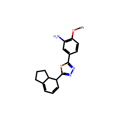 CC(C)Oc1ccc(-c2nnc(C3C=CC=C4CCCC43)s2)cc1N